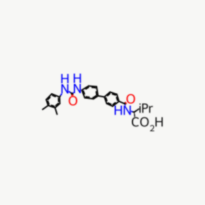 Cc1ccc(NC(=O)Nc2ccc(-c3ccc(C(=O)N[C@H](C(=O)O)C(C)C)cc3)cc2)cc1C